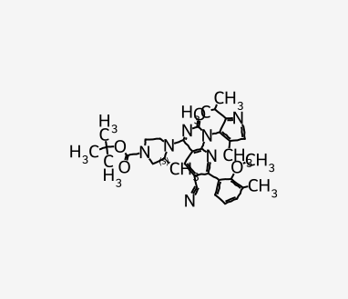 COc1c(C)cccc1-c1nc2c(cc1C#N)c(N1CCN(C(=O)OC(C)(C)C)C[C@@H]1C)nc(=O)n2-c1c(C)ccnc1C(C)C